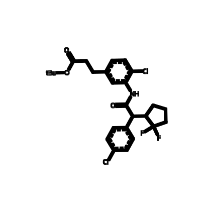 CC(C)(C)OC(=O)CCc1ccc(Cl)c(NC(=O)C(c2ccc(Cl)cc2)C2CCCC2(F)F)c1